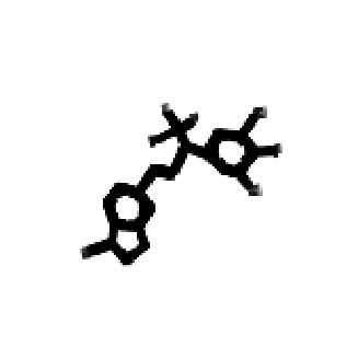 O=C1CCc2cc(C=CC(c3cc(Cl)c(F)c(Cl)c3)C(F)(F)F)ccc21